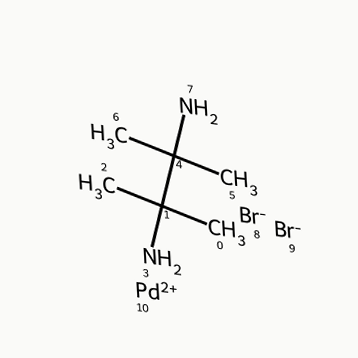 CC(C)(N)C(C)(C)N.[Br-].[Br-].[Pd+2]